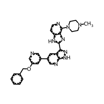 CN1CCN(c2nccc3[nH]c(-c4n[nH]c5ncc(-c6cncc(OCc7ccccc7)c6)cc45)nc23)CC1